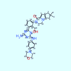 CC1(C)Cc2cc3n(c2C1)CCN(c1cccc(-c2nc(N)nc(Nc4ccc(N5CCOCC5)cc4)n2)c1CO)C3=O